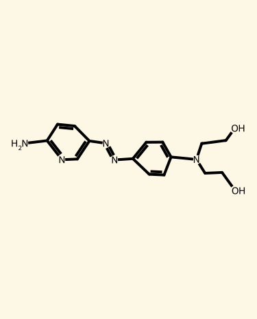 Nc1ccc(N=Nc2ccc(N(CCO)CCO)cc2)cn1